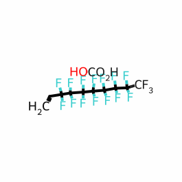 C=CC(F)(F)C(F)(F)C(F)(F)C(F)(F)C(F)(F)C(F)(F)C(F)(F)C(F)(F)F.O=C(O)O